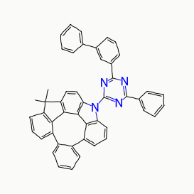 CC1(C)c2cccc3c4ccccc4c4cccc5c4c4c(c1ccc4n5-c1nc(-c4ccccc4)nc(-c4cccc(-c5ccccc5)c4)n1)c23